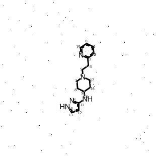 c1ccc(CCN2CCC(Nc3cc[nH]n3)CC2)nc1